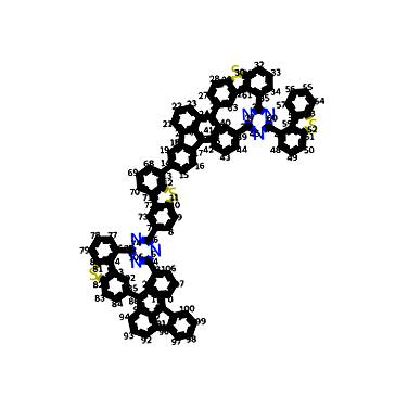 c1ccc(-c2nc(-c3ccc4sc5c(-c6ccc7c(c6)-c6cccc8c(-c9ccc%10sc%11cccc(-c%12nc(-c%13ccccc%13)nc(-c%13cccc%14sc%15ccccc%15c%13%14)n%12)c%11c%10c9)ccc-7c68)cccc5c4c3)nc(-c3cccc4sc5ccc(-c6ccc7c8c(cccc68)-c6ccccc6-7)cc5c34)n2)cc1